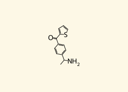 CC(N)c1ccc(C(=O)c2cccs2)cc1